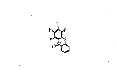 [O-][S+]1c2ccccc2Sc2c(F)c(F)c(F)c(F)c21